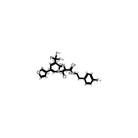 O=C(NCCc1ccc(F)cc1)c1nc2c(C(F)(F)F)cc(-c3ccoc3)cn2c1Cl